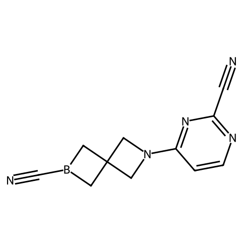 N#CB1CC2(C1)CN(c1ccnc(C#N)n1)C2